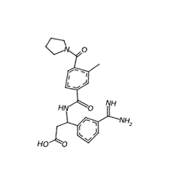 Cc1cc(C(=O)NC(CC(=O)O)c2cccc(C(=N)N)c2)ccc1C(=O)N1CCCC1